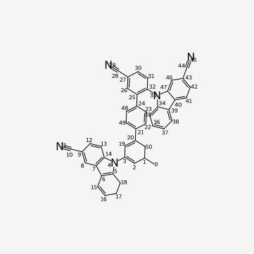 CC1C=C(n2c3c(c4cc(C#N)ccc42)C=CCC3)C=C(c2ccc(-c3cc(C#N)ccc3-n3c4ccccc4c4ccc(C#N)cc43)cc2)C1